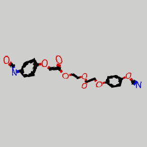 N#COc1ccc(OCC(=O)OCCOC(=O)COc2ccc(N=C=O)cc2)cc1